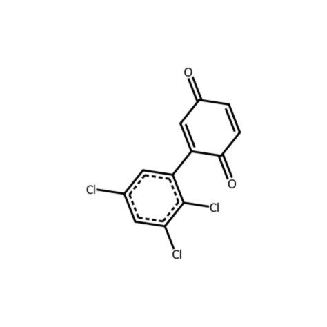 O=C1C=CC(=O)C(c2cc(Cl)cc(Cl)c2Cl)=C1